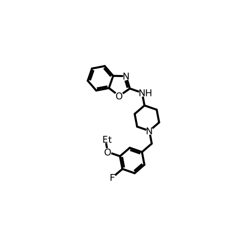 CCOc1cc(CN2CCC(Nc3nc4ccccc4o3)CC2)ccc1F